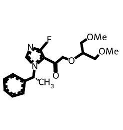 COCC(COC)OCC(=O)c1c(F)ncn1[C@H](C)c1ccccc1